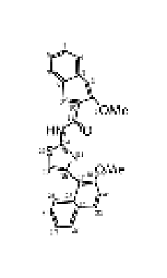 COc1cc2ccccc2cc1C(=O)Nc1nc(-c2c(OC)ccc3ccccc23)cs1